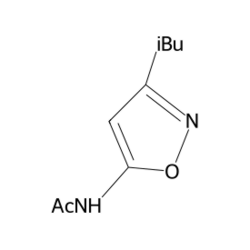 CCC(C)c1cc(NC(C)=O)on1